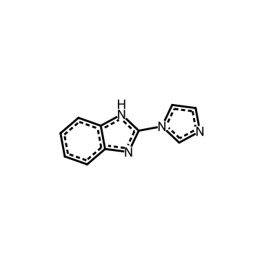 c1ccc2[nH]c(-n3ccnc3)nc2c1